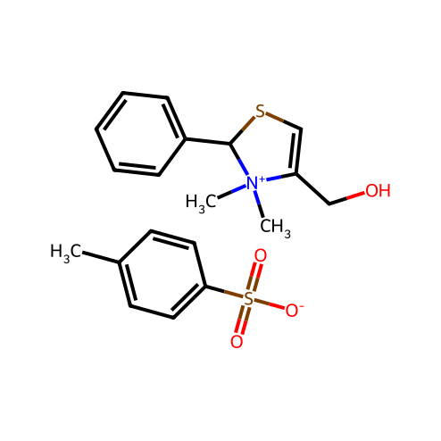 C[N+]1(C)C(CO)=CSC1c1ccccc1.Cc1ccc(S(=O)(=O)[O-])cc1